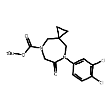 CC(C)(C)OC(=O)N1CC(=O)N(c2ccc(Cl)c(Cl)c2)CC2(CC2)C1